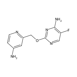 Nc1ccnc(COc2ncc(F)c(N)n2)c1